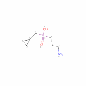 NCCCP(=O)(O)CC1CC1